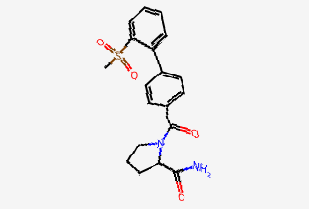 CS(=O)(=O)c1ccccc1-c1ccc(C(=O)N2CC[CH]C2C(N)=O)cc1